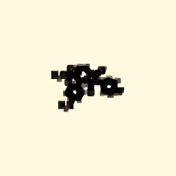 CC1(C)Oc2cc(N)ccc2C2C1=CCn1c(=O)n(-c3ccc(F)cc3)c(=O)n12